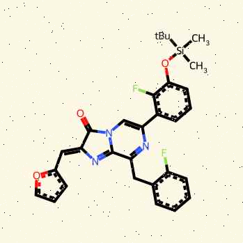 CC(C)(C)[Si](C)(C)Oc1cccc(C2=CN3C(=O)/C(=C/c4ccco4)N=C3C(Cc3ccccc3F)=N2)c1F